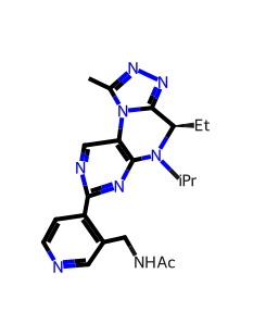 CC[C@@H]1c2nnc(C)n2-c2cnc(-c3ccncc3CNC(C)=O)nc2N1C(C)C